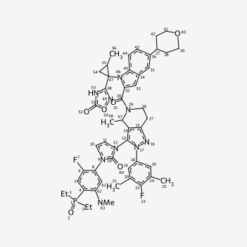 CCP(=O)(CC)c1cc(F)c(-n2ccn(-c3c4c(nn3-c3cc(C)c(F)c(C)c3)CCN(C(=O)c3cc5cc(C6CCOCC6)ccc5n3C3(c5noc(=O)[nH]5)CC3C)C4C)c2=O)cc1NC